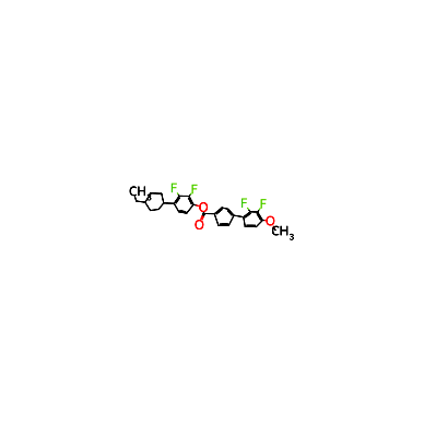 CCC1CCC(c2ccc(OC(=O)c3ccc(-c4ccc(OC)c(F)c4F)cc3)c(F)c2F)CC1